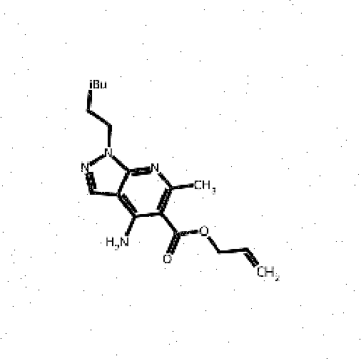 C=CCOC(=O)c1c(C)nc2c(cnn2CCC(C)CC)c1N